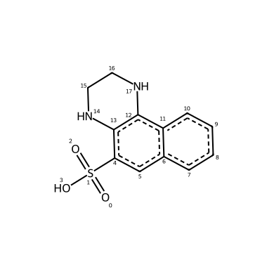 O=S(=O)(O)c1cc2ccccc2c2c1NCCN2